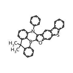 CC1(C)c2ccccc2B2c3oc4cc5sc6ccccc6c5cc4c3N(c3ccccc3)c3cccc1c32